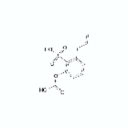 C=CCc1cccc(OC(=O)O)c1S(=O)(=O)O